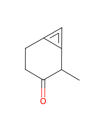 CC1C(=O)CCC2=C=C21